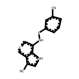 N#Cc1cccc(SNc2cccc3c(C#N)c[nH]c23)c1